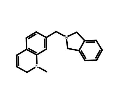 CN1CC=Cc2ccc(CN3Cc4ccccc4C3)cc21